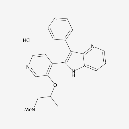 CNCC(C)Oc1cnccc1-c1[nH]c2cccnc2c1-c1ccccc1.Cl